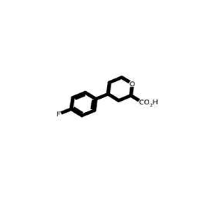 O=C(O)C1CC(c2ccc(F)cc2)CCO1